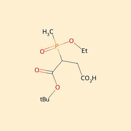 CCOP(C)(=O)C(CC(=O)O)C(=O)OC(C)(C)C